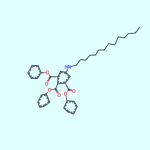 CCCCCCCCCCCCCCNc1cc(C(=O)Oc2ccccc2)c(C(=O)Oc2ccccc2)c(C(=O)Oc2ccccc2)c1